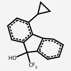 OC1(C(F)(F)F)c2ccccc2-c2c(C3CC3)cccc21